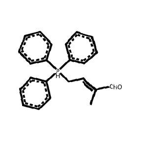 CC(C=O)=CC[PH](c1ccccc1)(c1ccccc1)c1ccccc1